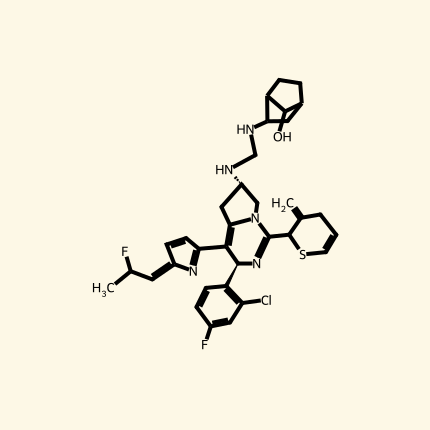 C=C1CC=CSC1C1=N[C@@H](c2ccc(F)cc2Cl)C(C2=N/C(=C/C(C)F)C=C2)=C2C[C@H](NCNC3CC4CCC3C4O)CN12